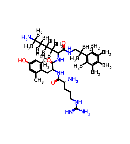 Bc1c(B)c(B)c(C(B)(B)CNC(=O)C(NC(=O)[C@H](Cc2c(C)cc(O)cc2C)NC(=O)[C@H](N)CCCNC(=N)N)C(B)(B)C(B)(B)C(B)(B)C(B)(B)N)c(B)c1B